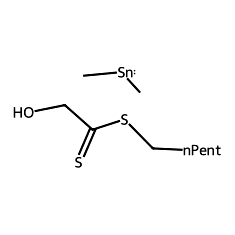 CCCCCCSC(=S)CO.[CH3][Sn][CH3]